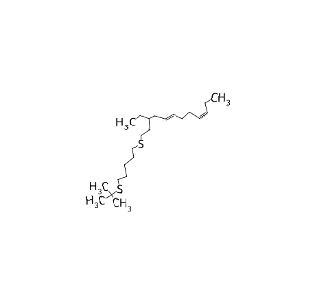 CC/C=C\CC/C=C/CC(CC)CCSCCCCCSC(C)(C)C